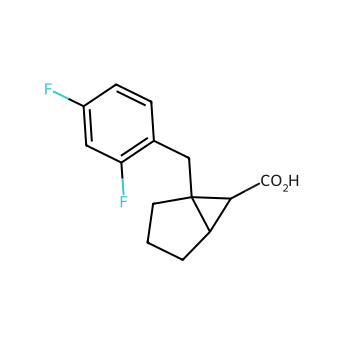 O=C(O)C1C2CCCC21Cc1ccc(F)cc1F